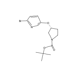 CC(C)(C)OC(=O)N1CC[C@@H](Oc2ccc(Br)nc2)C1